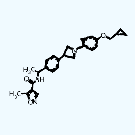 Cc1oncc1C(=O)N[C@@H](C)c1ccc(C2CN(c3ccc(OCC4CC4)cc3)C2)cc1